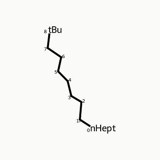 CCCCCCC[CH]CCCCCCC(C)(C)C